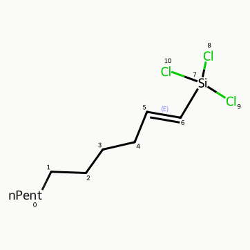 CCCCCCCCC/C=C/[Si](Cl)(Cl)Cl